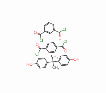 CC(C)(c1ccc(O)cc1)c1ccc(O)cc1.O=C(Cl)c1ccc(C(=O)Cl)cc1.O=C(Cl)c1cccc(C(=O)Cl)c1